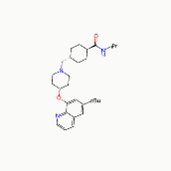 CCCCc1cc(OC2CCN(C[C@H]3CC[C@H](C(=O)NC(C)C)CC3)CC2)c2ncccc2c1